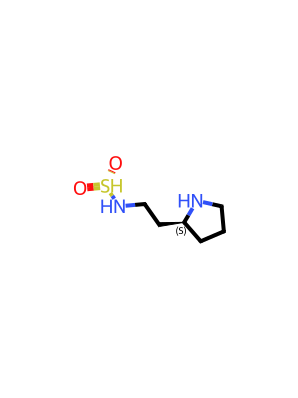 O=[SH](=O)NCC[C@@H]1CCCN1